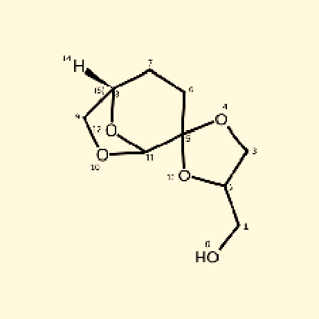 OCC1COC2(CC[C@H]3COC2O3)O1